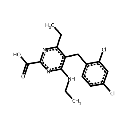 CCNc1nc(C(=O)O)nc(CC)c1Cc1ccc(Cl)cc1Cl